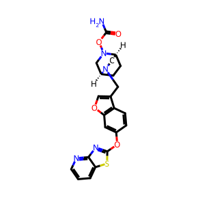 NC(=O)ON1C[C@@H]2CC[C@H]1CN2Cc1coc2cc(Oc3nc4ncccc4s3)ccc12